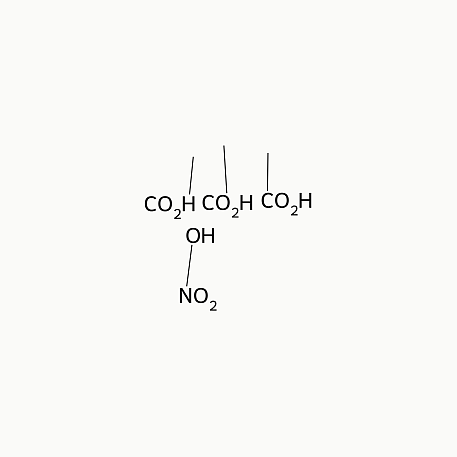 CC(=O)O.CC(=O)O.CC(=O)O.O=[N+]([O-])O